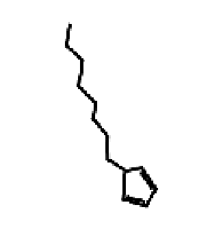 CCCCCCCCC1C=CC=C1